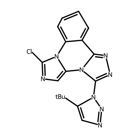 CC(C)(C)c1cnnn1-c1nnc2c3ccccc3n3c(Cl)ncc3n12